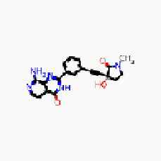 CN1CC[C@@](O)(C#Cc2cccc(-c3nc4c(N)nccc4c(=O)[nH]3)c2)C1=O